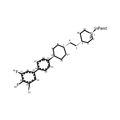 CCCCC[Si@H]1CC[C@H](CC[C@H]2CC[C@H](c3ccc(-c4cc(F)c(F)c(F)c4)cc3)CC2)CC1